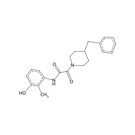 Cc1c(O)cccc1NC(=O)C(=O)N1CCC(Cc2ccccc2)CC1